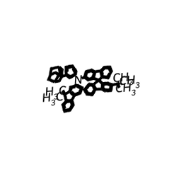 CC(C)(C)c1ccc2c(c1)C1(c3ccccc3-c3ccc(N(c4cccc(C56CC7CC(CC(C7)C5)C6)c4)c4ccc5c(c4)C(C)(C)c4ccccc4-5)cc31)c1ccccc1-2